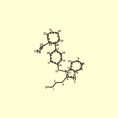 CCCCc1nc2ccccc2n1Cc1ccc(-c2ccccc2C#N)cc1